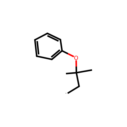 [CH2]CC(C)(C)Oc1ccccc1